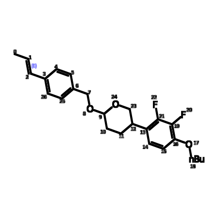 C/C=C/c1ccc(COC2CCC(c3ccc(OCCCC)c(F)c3F)CO2)cc1